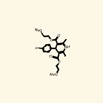 COCCOC(=O)C1=C(C)NC(C)=C(C(=O)OCCOC)C1c1ccc(Br)cc1